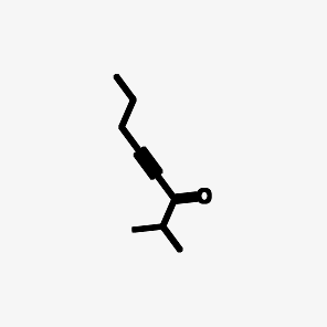 CCCC#CC(=O)C(C)C